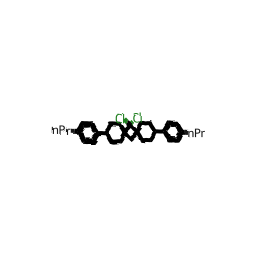 CCCc1ccc(C2CCC3(CC2)CC2(CCC(c4ccc(CCC)cc4)CC2)C3(Cl)Cl)cc1